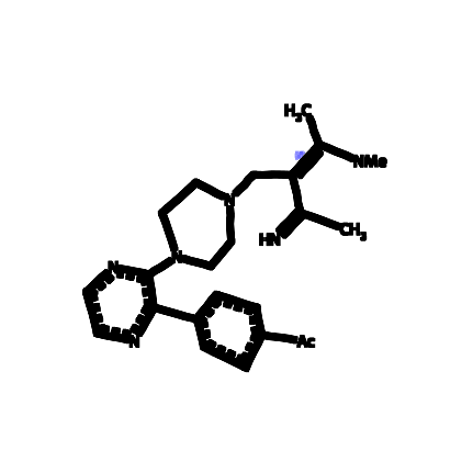 CN/C(C)=C(/CN1CCN(c2nccnc2-c2ccc(C(C)=O)cc2)CC1)C(C)=N